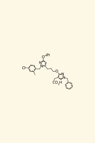 Cc1cc(Cl)ccc1Cn1nc(OC(C)C)cc1CCCOc1nn(Cc2ccccc2)cc1CC(=O)O